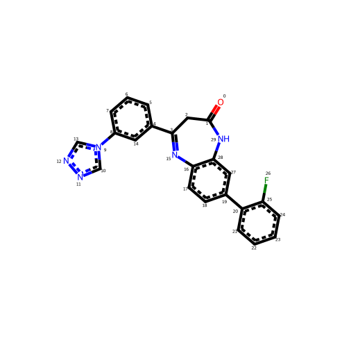 O=C1CC(c2cccc(-n3cnnc3)c2)=Nc2ccc(-c3ccccc3F)cc2N1